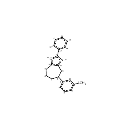 Cc1cccc(C2CCCc3oc(-c4cnccn4)nc3C2)c1